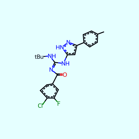 Cc1ccc(-c2cc(N/C(=N\C(=O)c3ccc(Cl)c(F)c3)NC(C)(C)C)[nH]n2)cc1